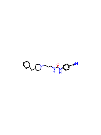 N#Cc1ccc(NC(=O)NCCCN2CCC(Cc3ccccc3)CC2)cc1